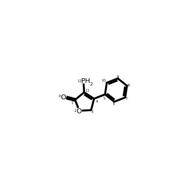 O=C1OCC(c2ccccc2)=C1P